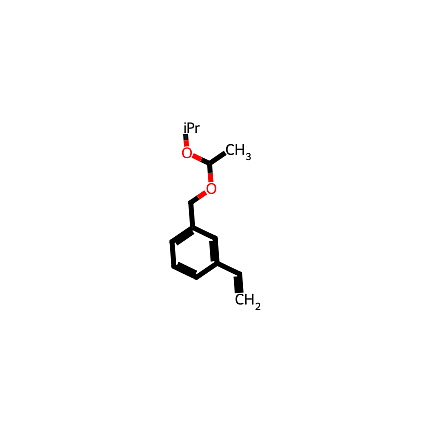 C=Cc1cccc(COC(C)OC(C)C)c1